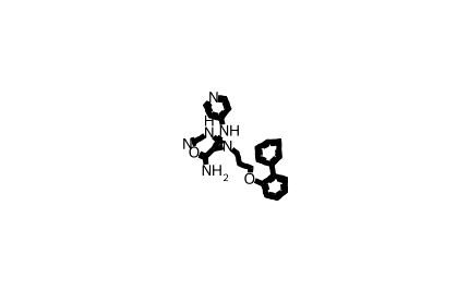 N#CNC1(Nc2ccncc2)C(C(N)=O)N1CCCOc1ccccc1-c1ccccc1